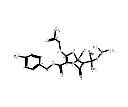 C[SiH](C)OC(C)(C1C(=O)N2C(C(=O)OCc3ccc([N+](=O)[O-])cc3)=C(SCC(N)=O)S[C@H]12)C(C)(C)C